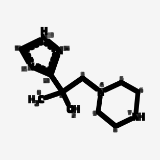 CC(O)(CN1CCNCC1)c1nc[nH]n1